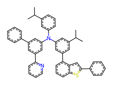 CC(C)c1cccc(N(c2cc(-c3ccccc3)cc(-c3ccccn3)c2)c2cc(-c3cccc4sc(-c5ccccc5)cc34)cc(C(C)C)c2)c1